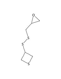 C1OC1CSSC1CSC1